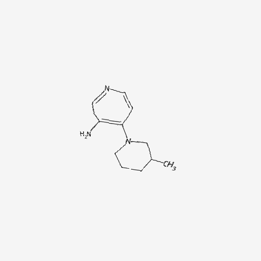 CC1CCCN(c2ccncc2N)C1